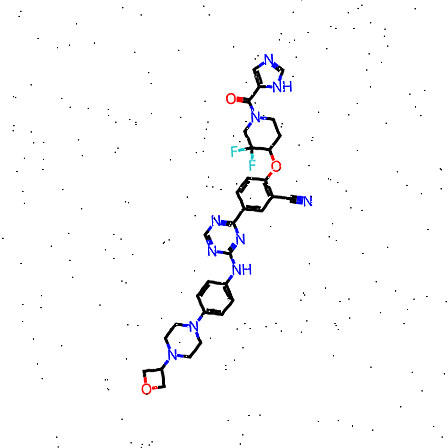 N#Cc1cc(-c2ncnc(Nc3ccc(N4CCN(C5COC5)CC4)cc3)n2)ccc1OC1CCN(C(=O)c2cnc[nH]2)CC1(F)F